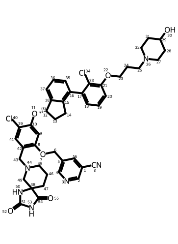 N#Cc1cncc(COc2cc(O[C@H]3CCc4c(-c5cccc(OCCCN6CCC(O)CC6)c5Cl)cccc43)c(Cl)cc2CN2CCCC3(C2)NC(=O)NC3=O)c1